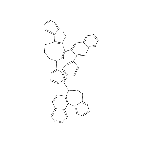 CCC1=C(\c2ccccc2)CCCC(c2ccccc2)/N=C\1c1cc2ccccc2cc1-c1ccc(CC2CCc3ccccc3-c3c2ccc2ccccc32)cc1